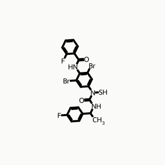 CC(NC(=O)N(S)c1cc(Br)c(NC(=O)c2ccccc2F)c(Br)c1)c1ccc(F)cc1